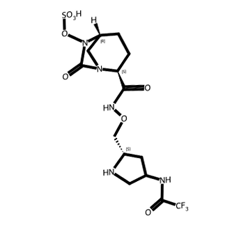 O=C(NOC[C@@H]1CC(NC(=O)C(F)(F)F)CN1)[C@@H]1CC[C@@H]2CN1C(=O)N2OS(=O)(=O)O